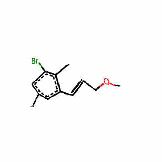 [CH2]c1cc(Br)c(C)c(/C=C/COC)c1